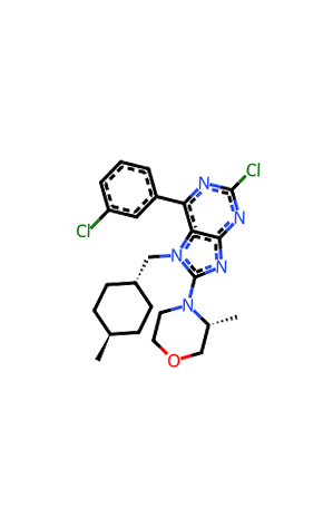 C[C@@H]1COCCN1c1nc2nc(Cl)nc(-c3cccc(Cl)c3)c2n1C[C@H]1CC[C@H](C)CC1